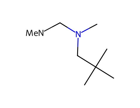 CNCN(C)CC(C)(C)C